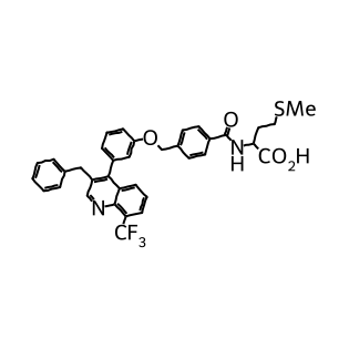 CSCCC(NC(=O)c1ccc(COc2cccc(-c3c(Cc4ccccc4)cnc4c(C(F)(F)F)cccc34)c2)cc1)C(=O)O